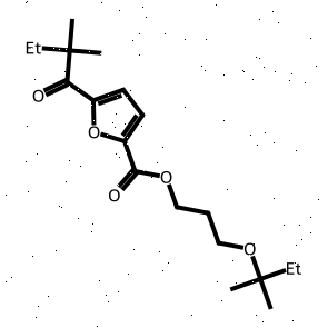 CCC(C)(C)OCCCOC(=O)c1ccc(C(=O)C(C)(C)CC)o1